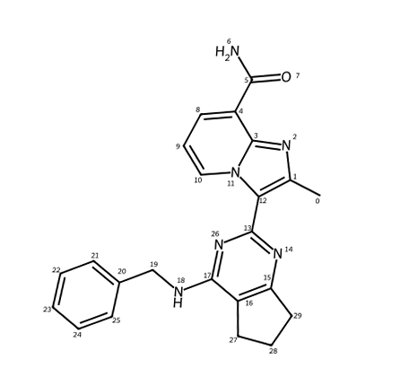 Cc1nc2c(C(N)=O)cccn2c1-c1nc2c(c(NCc3ccccc3)n1)CCC2